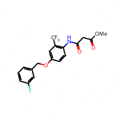 COC(=O)CC(=O)Nc1ccc(OCc2cccc(F)c2)cc1C(F)(F)F